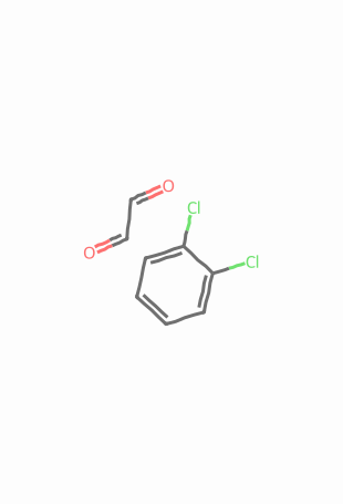 Clc1ccccc1Cl.O=CC=O